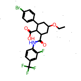 CCOC1CC(C(=O)Nc2ccc(C(F)(F)F)cc2F)C(C(=O)O)C(c2ccc(Br)cc2)C1